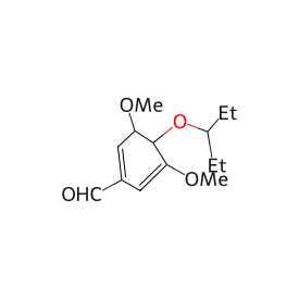 CCC(CC)OC1C(OC)=CC(C=O)=CC1OC